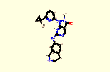 CCn1c(=O)c2cnc(Nc3ccc4c(c3)CNCC4)nc2n1-c1cccc(C2(C#N)CC2)n1